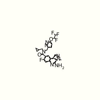 Cn1ncc2c3cc(C(=O)N(Cc4ccc(OC(F)C(F)F)nn4)CC4CC4)c(F)cc3nc(N)c21